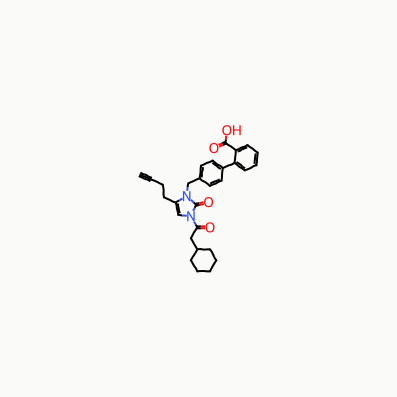 C#CCCc1cn(C(=O)CC2CCCCC2)c(=O)n1Cc1ccc(-c2ccccc2C(=O)O)cc1